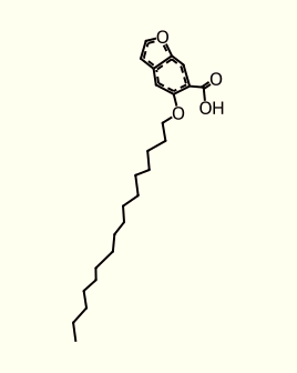 CCCCCCCCCCCCCCCCOc1cc2ccoc2cc1C(=O)O